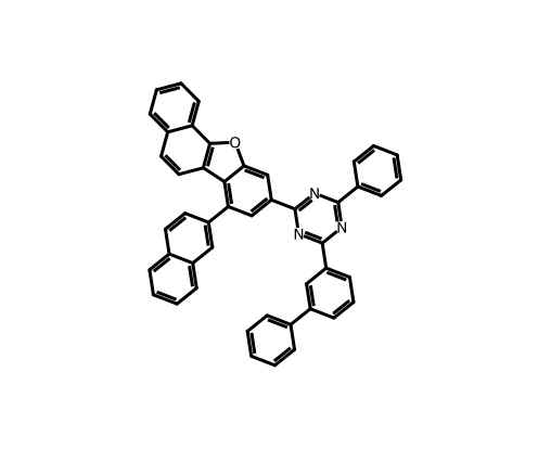 c1ccc(-c2cccc(-c3nc(-c4ccccc4)nc(-c4cc(-c5ccc6ccccc6c5)c5c(c4)oc4c6ccccc6ccc45)n3)c2)cc1